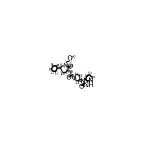 COCCN1C[C@H](c2ccccc2)CC[C@@H](CC(=O)N2CCC(n3c(=O)[nH]c4ncccc43)CC2)C1=O